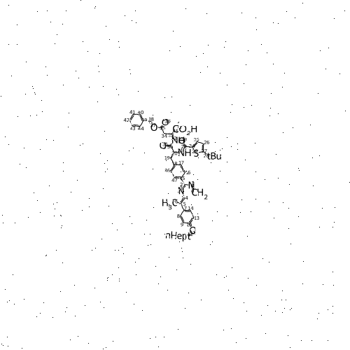 C=N/C(=N\C=C(/C)c1ccc(OCCCCCCC)cc1)c1ccc(C[C@H](NC(=O)c2ccc(C(C)(C)C)s2)C(=O)N[C@@H](CC(=O)OCc2ccccc2)C(=O)O)cc1